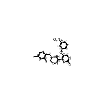 Cc1ccc(C[C@@H]2CON=C(c3nc(C)ncc3Oc3cccc([N+](=O)[O-])c3)N2)c(C)c1